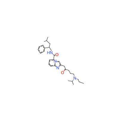 CCCN(CCCC(=O)Cc1cn2c(C(=O)NCC(CC(C)C)c3ccccc3)cccc2n1)C(C)C